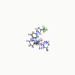 C=C/C=C(\N=C/C)NC(=O)N1c2nc(N3CCC(C(F)(F)F)C3)ccc2N2CCC[C@H]1C2